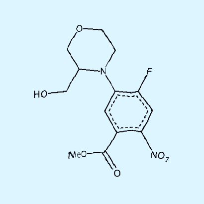 COC(=O)c1cc(N2CCOCC2CO)c(F)cc1[N+](=O)[O-]